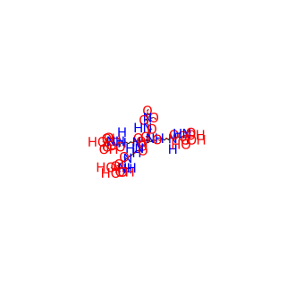 COC[C@H]1C[C@H](OC)CN1C(=O)CCCNC(=O)CCC(=O)NC(CCCOCCCCCCNC(=O)CCCOC1OC(CO)C(O)C(O)C1NC(C)=O)(CCCOC(=O)NCCCCCCNC(=O)CCCOC1OC(CO)C(O)C(O)C1NC(C)=O)CCCOC(=O)NCCCCCCNC(=O)CCCOC1OC(CO)C(O)C(O)C1NC(C)=O